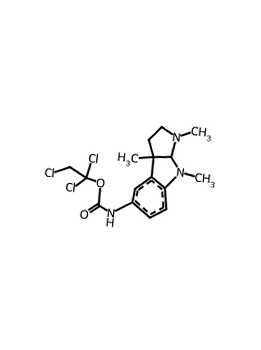 CN1CCC2(C)c3cc(NC(=O)OC(Cl)(Cl)CCl)ccc3N(C)C12